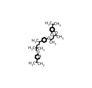 CC(CCC(C)Oc1cc(C(C)C)ccc1Cl)Oc1ccc(C(C)CCC(C)(C)COc2ccc(C(C)C)cn2)cc1